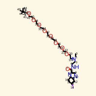 CCN(CCNC(=O)c1cnc2cc(I)ccc2n1)CCOCCOCCOCCOCCOCCOCCOCCO[Si](C)(C)C(C)(C)C